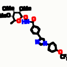 CO[C@@H]1[C@H](OC)[C@H](ONC(=O)c2ccc(-c3cn(-c4ccc(OC(F)(F)F)cc4)cn3)cc2)O[C@@H](C)[C@@H]1OC